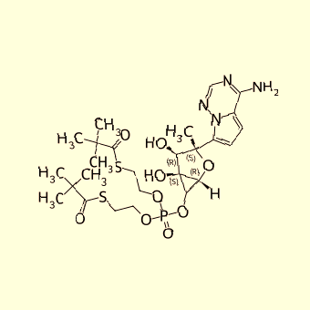 CC(C)(C)C(=O)SCCOP(=O)(OCCSC(=O)C(C)(C)C)OC1[C@H]2O[C@@](C)(c3ccc4c(N)ncnn34)[C@H](O)[C@@]12O